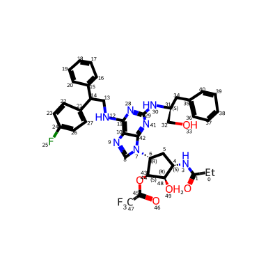 CCC(=O)N[C@H]1C[C@@H](n2cnc3c(NCC(c4ccccc4)c4ccc(F)cc4)nc(N[C@H](CO)Cc4ccccc4)nc32)[C@H](OC(=O)C(F)(F)F)[C@@H]1O